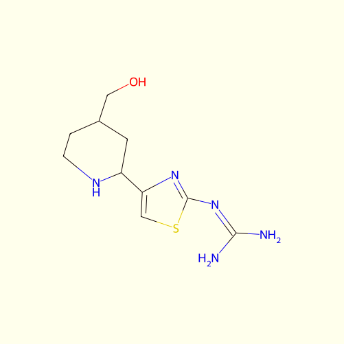 NC(N)=Nc1nc(C2CC(CO)CCN2)cs1